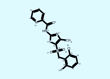 Cc1nc(NC(=O)c2ccccn2)sc1S(=O)(=O)Cc1c(F)cccc1Cl